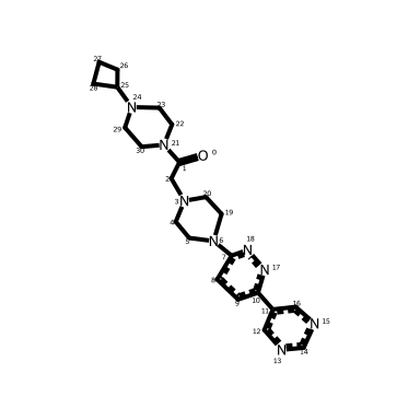 O=C(CN1CCN(c2ccc(-c3cncnc3)nn2)CC1)N1CCN(C2CCC2)CC1